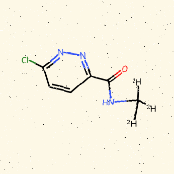 [2H]C([2H])([2H])NC(=O)c1ccc(Cl)nn1